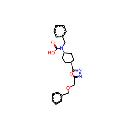 O=C(O)N(Cc1ccccc1)[C@H]1CC[C@H](c2nnc(COCc3ccccc3)o2)CC1